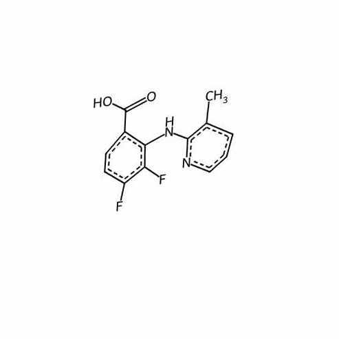 Cc1cccnc1Nc1c(C(=O)O)ccc(F)c1F